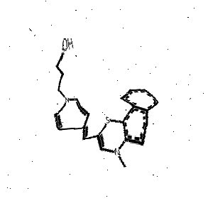 CN1C=C(C=C2C=CN(CCCO)C=C2)Sc2c1ccc1ccccc21